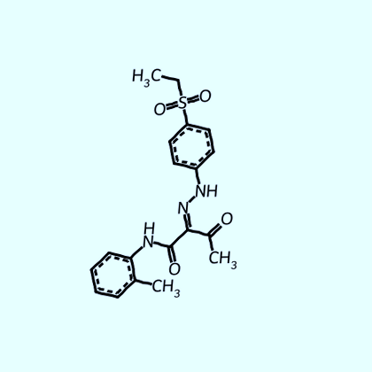 CCS(=O)(=O)c1ccc(N/N=C(\C(C)=O)C(=O)Nc2ccccc2C)cc1